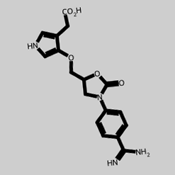 N=C(N)c1ccc(N2CC(COc3c[nH]cc3CC(=O)O)OC2=O)cc1